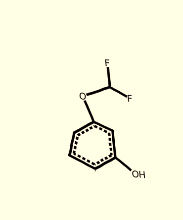 Oc1[c]ccc(OC(F)F)c1